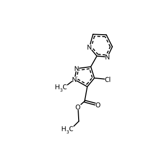 CCOC(=O)c1c(Cl)c(-c2ncccn2)nn1C